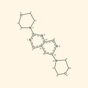 c1nc(N2CCOCC2)nc2cnc(N3CCOCC3)cc12